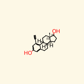 C#Cc1cc(O)cc2c1[C@H]1CC[C@]3(C)[C@@H](O)CC[C@H]3[C@@H]1CC2